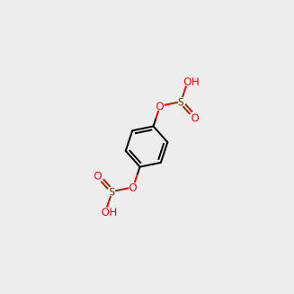 O=S(O)Oc1ccc(OS(=O)O)cc1